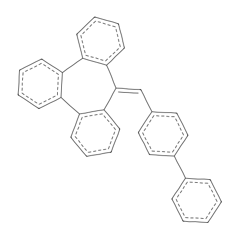 C(=C1c2ccccc2-c2ccccc2-c2ccccc21)c1ccc(-c2ccccc2)cc1